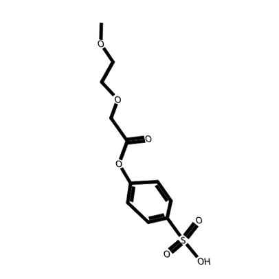 COCCOCC(=O)Oc1ccc(S(=O)(=O)O)cc1